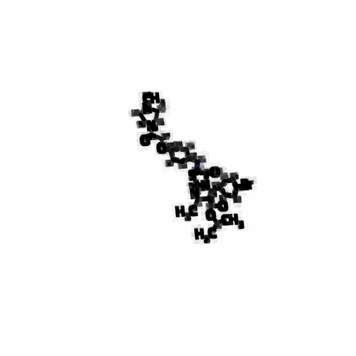 CC1=C(C(=O)OC(C)C)C(c2ccc(Br)cc2)n2c(s/c(=C\c3ccc(OCC(=O)N4CCN(C)CC4)cc3)c2=O)=N1